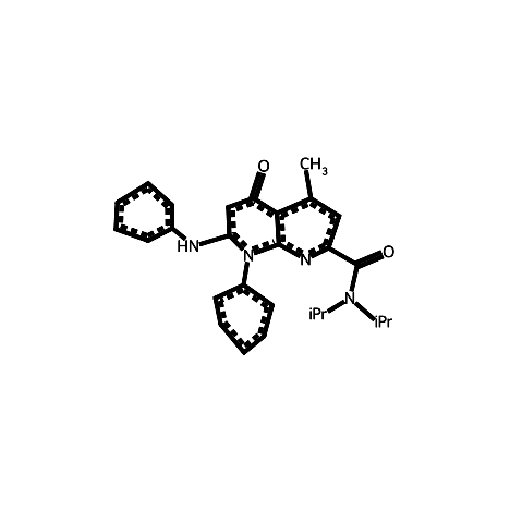 Cc1cc(C(=O)N(C(C)C)C(C)C)nc2c1c(=O)cc(Nc1ccccc1)n2-c1ccccc1